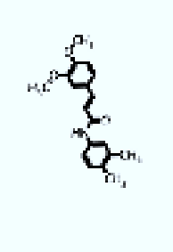 COc1ccc(C=CC(=O)Nc2ccc(C)c(C)c2)cc1OC